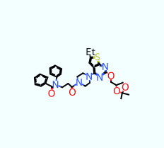 CCc1cc2c(N3CCN(C(=O)CCN(C(=O)c4ccccc4)c4ccccc4)CC3)nc(OCC3COC(C)(C)O3)nc2s1